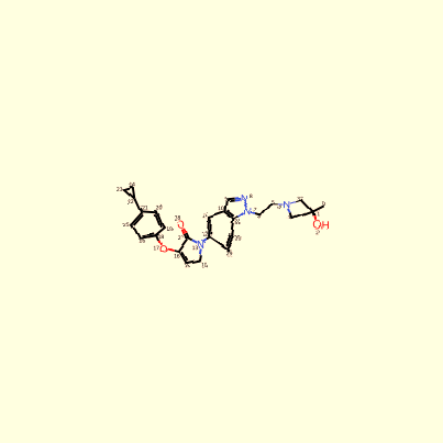 CC1(O)CN(CCn2ncc3cc(N4CC=C(Oc5ccc(C6CC6)cc5)C4=O)ccc32)C1